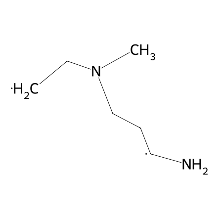 [CH2]CN(C)CC[CH]N